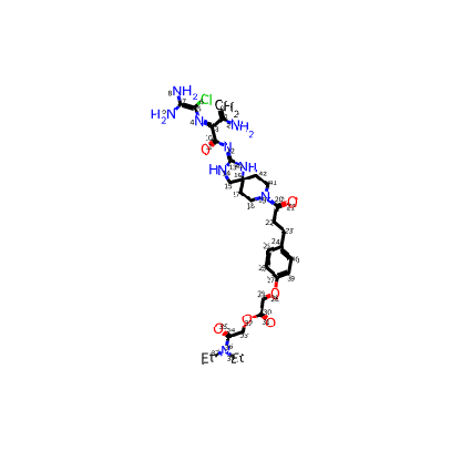 C=C(N)/C(=N\C(Cl)=C(N)N)C(=O)/N=C1\NCC2(CCN(C(=O)CCc3ccc(OCC(=O)OCC(=O)N(CC)CC)cc3)CC2)N1